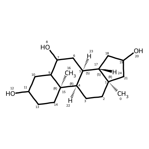 C[C@]12CC[C@@H]3[C@@H](CC(O)C4CC(O)CC[C@@]43C)[C@@H]1CC(O)C2